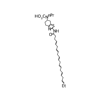 CCC=CCC=CCC=CCC=CCC=CCC=CCCC(=O)Nc1nc2c(s1)CC(N(CCC)C(=O)O)CC2